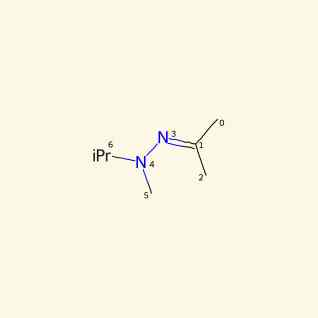 CC(C)=NN(C)C(C)C